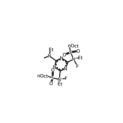 [CH2]CN(C)c1nc([N+](F)(CC)S(=O)(=O)CCCCCCCC)nc([N+](F)(CC)S(=O)(=O)CCCCCCCC)n1